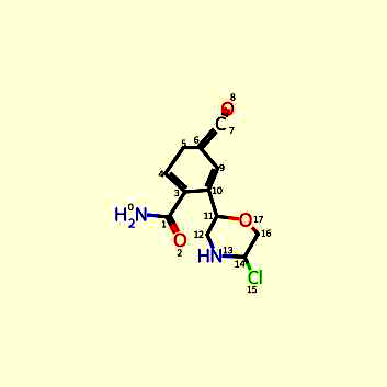 NC(=O)C1=CCC(=C=O)C=C1C1CNC(Cl)CO1